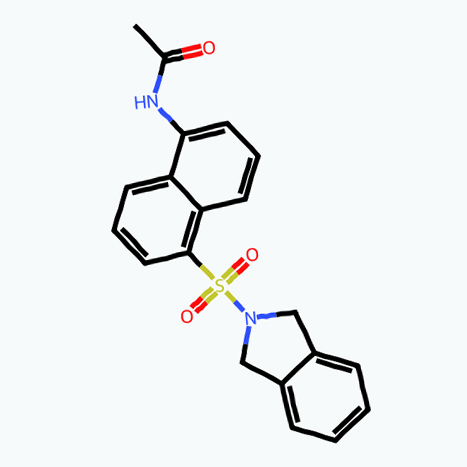 CC(=O)Nc1cccc2c(S(=O)(=O)N3Cc4ccccc4C3)cccc12